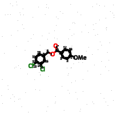 COc1ccc(C([O])OCc2ccc(Cl)c(Cl)c2)cc1